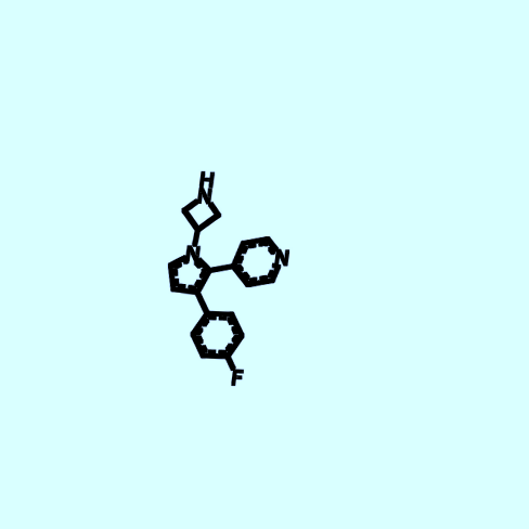 Fc1ccc(-c2ccn(C3CNC3)c2-c2ccncc2)cc1